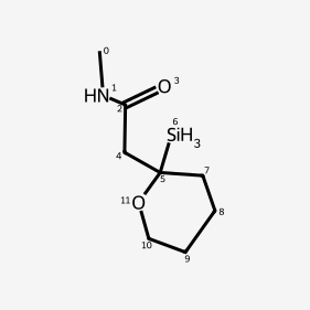 CNC(=O)CC1([SiH3])CCCCO1